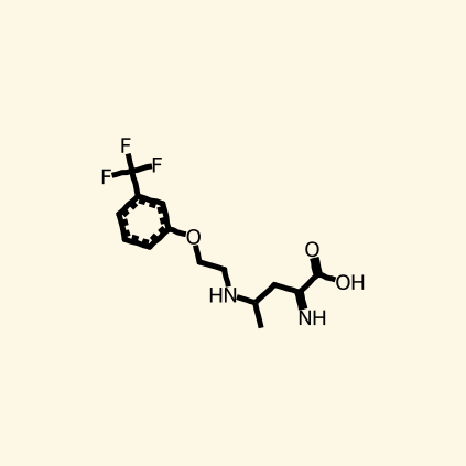 CC(CC(=N)C(=O)O)NCCOc1cccc(C(F)(F)F)c1